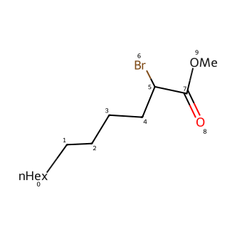 CCCCCCCCCCC(Br)C(=O)OC